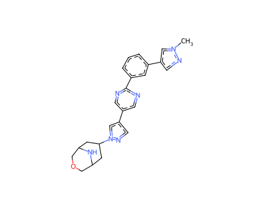 Cn1cc(-c2cccc(-c3ncc(-c4cnn(C5CC6COCC(C5)N6)c4)cn3)c2)cn1